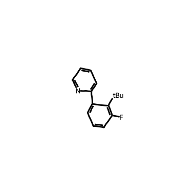 CC(C)(C)c1c(F)cccc1-c1ccccn1